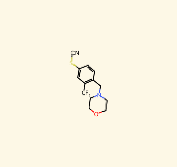 N#CSc1ccc(CN2CCOCC2)c(C(F)(F)F)c1